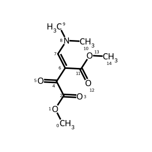 COC(=O)C(=O)C(=CN(C)C)C(=O)OC